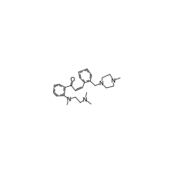 CN(C)CCN(C)c1ccccc1C(=O)C=Cc1ccccc1CN1CCN(C)CC1